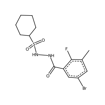 Cc1cc(Br)cc(C(=O)NNS(=O)(=O)C2CCCCC2)c1F